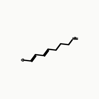 CCCCCCCC=CC=C[O]